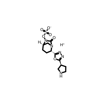 O=C1N2C[C@@H](CC[C@H]2c2nnc([C@H]3CCNC3)o2)N1OS(=O)(=O)[O-].[H+]